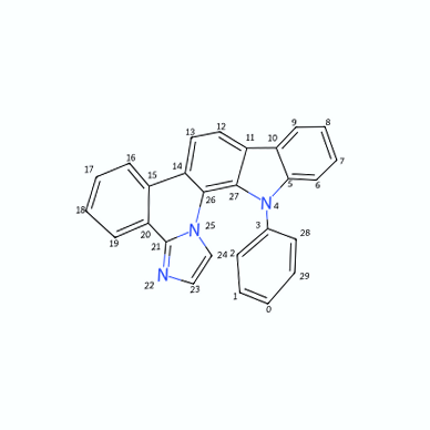 c1ccc(-n2c3ccccc3c3ccc4c5ccccc5c5nccn5c4c32)cc1